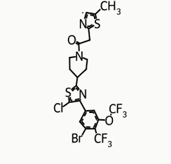 Cc1[c]nc(CC(=O)N2CCC(c3nc(-c4cc(Br)c(C(F)(F)F)c(OC(F)(F)F)c4)c(Cl)s3)CC2)s1